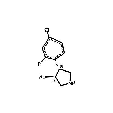 CC(=O)[C@@H]1CNC[C@H]1c1ccc(Cl)cc1F